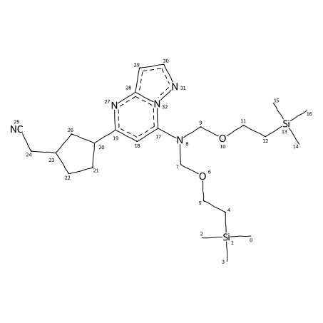 C[Si](C)(C)CCOCN(COCC[Si](C)(C)C)c1cc(C2CCC(CC#N)C2)nc2ccnn12